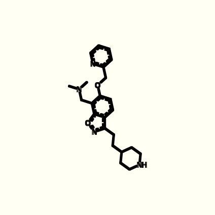 CN(C)Cc1c(OCc2ccccn2)ccc2c(CCC3CCNCC3)noc12